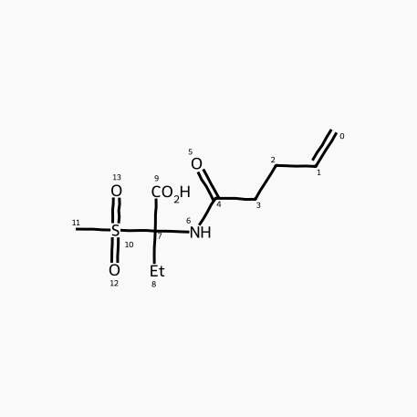 C=CCCC(=O)NC(CC)(C(=O)O)S(C)(=O)=O